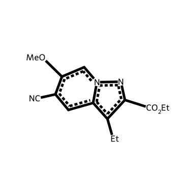 CCOC(=O)c1nn2cc(OC)c(C#N)cc2c1CC